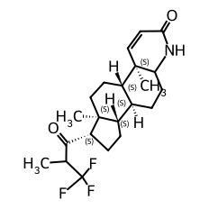 CC(C(=O)[C@H]1CC[C@H]2[C@@H]3CCC4NC(=O)C=C[C@]4(C)[C@H]3CC[C@]12C)C(F)(F)F